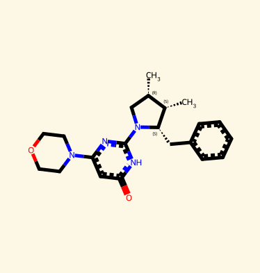 C[C@H]1[C@@H](C)CN(c2nc(N3CCOCC3)cc(=O)[nH]2)[C@H]1Cc1ccccc1